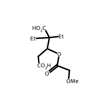 CCC(CC)(C(=O)O)C(CC(=O)O)OC(=O)COC